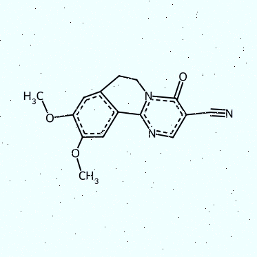 COc1cc2c(cc1OC)-c1ncc(C#N)c(=O)n1CC2